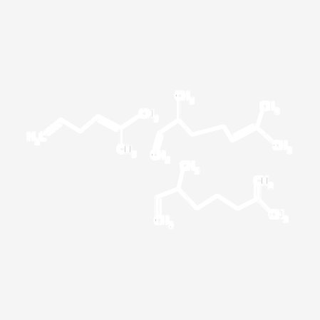 C=CC(C)CCC=C(C)C.C=CC(C)CCCC(=C)C.C=CCC=C(C)C